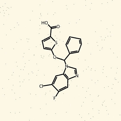 O=C(O)c1ccc(OC(c2ccccc2)n2cnc3cc(F)c(Cl)cc32)s1